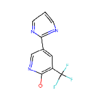 [O]c1ncc(-c2ncccn2)cc1C(F)(F)F